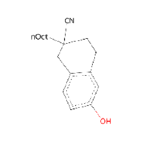 CCCCCCCCC1(C#N)CCc2cc(O)ccc2C1